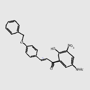 CC(=O)Nc1cc(C(=O)/C=C/c2ccc(OCc3ccccc3)cc2)c(O)c([N+](=O)[O-])c1